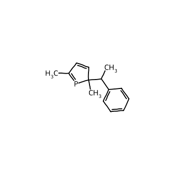 CC1=PC(C)(C(C)c2ccccc2)C=C1